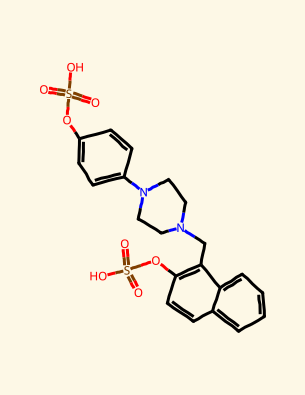 O=S(=O)(O)Oc1ccc(N2CCN(Cc3c(OS(=O)(=O)O)ccc4ccccc34)CC2)cc1